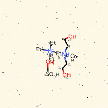 CC[N+](CC)(CC)CC.O=S(=O)(O)O.OCCNCCO.[Co]